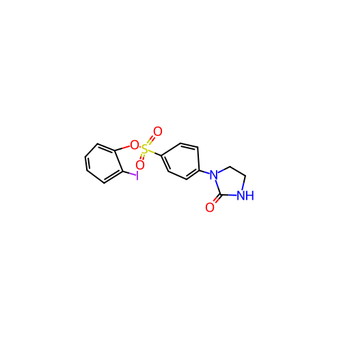 O=C1NCCN1c1ccc(S(=O)(=O)Oc2ccccc2I)cc1